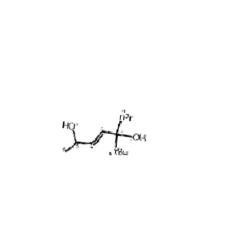 CCCC(O)(C=CC(C)O)C(C)(C)C